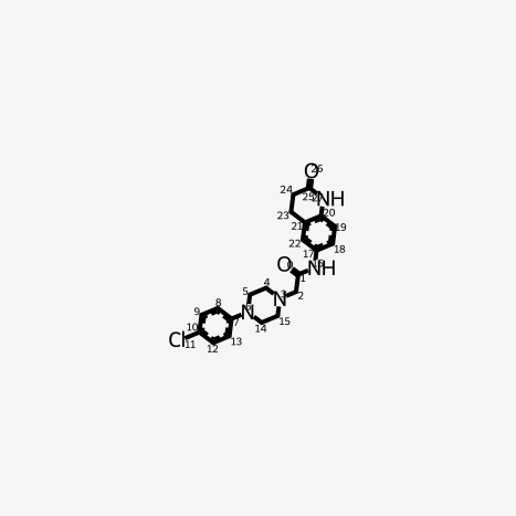 O=C(CN1CCN(c2ccc(Cl)cc2)CC1)Nc1ccc2c(c1)CCC(=O)N2